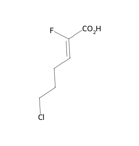 O=C(O)/C(F)=C/CCCCl